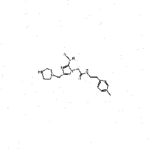 Cc1ccc(CCNC(=O)Cn2cc(CN3CCNCC3)nc2[N+](=O)[O-])cc1